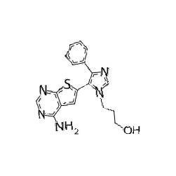 Nc1ncnc2sc(-c3c(-c4ccccc4)ncn3CCCO)cc12